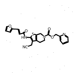 N#CCc1c(NC(=O)/C=C/c2ccco2)sc2c1CCN(C(=O)OCc1ccccn1)C2